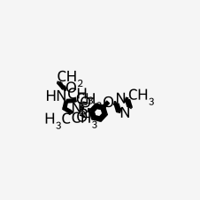 C=CC(=O)NC1CC(C)(C)N(S(=O)(=O)c2cccc(Oc3cncc(C)n3)c2)C1(C)C